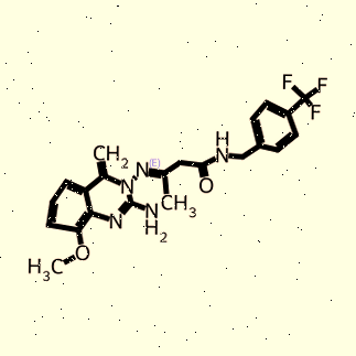 C=C1c2cccc(OC)c2N=C(N)N1/N=C(\C)CC(=O)NCc1ccc(C(F)(F)F)cc1